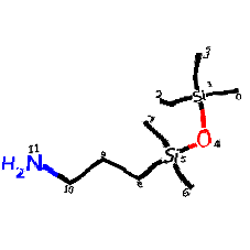 C[Si](C)(C)O[Si](C)(C)CCCN